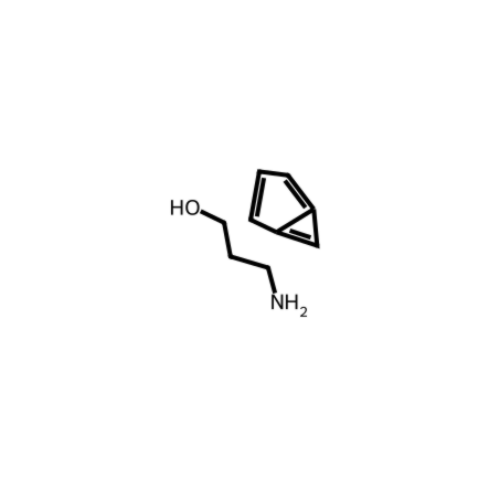 NCCCO.c1cc2cc-2c1